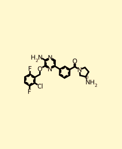 Nc1ncc(-c2cccc(C(=O)N3CC[C@@H](N)C3)c2)nc1OCc1c(F)ccc(F)c1Cl